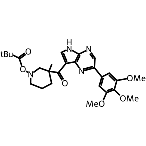 COc1cc(-c2cnc3[nH]cc(C(=O)C4(C)CCCN(OC(=O)C(C)(C)C)C4)c3n2)cc(OC)c1OC